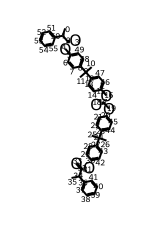 CC(C(=O)Oc1ccc(C(C)(C)c2ccc(OC(=O)Oc3ccc(C(C)(C)c4ccc(OC(=O)C(C)c5ccccc5)cc4)cc3)cc2)cc1)c1ccccc1